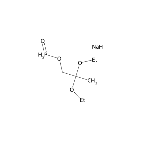 CCOC(C)(CO[PH2]=O)OCC.[NaH]